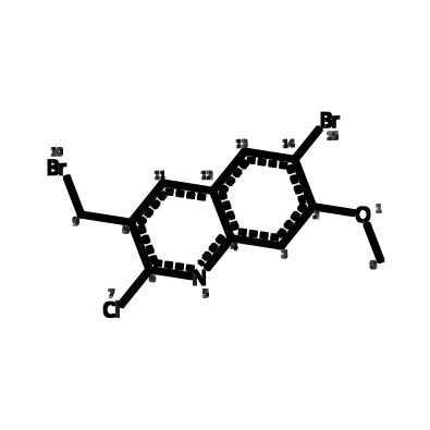 COc1cc2nc(Cl)c(CBr)cc2cc1Br